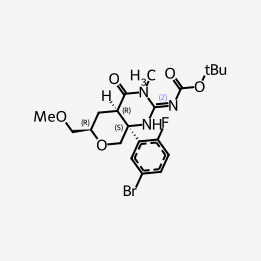 COC[C@H]1C[C@H]2C(=O)N(C)/C(=N\C(=O)OC(C)(C)C)N[C@@]2(c2cc(Br)ccc2F)CO1